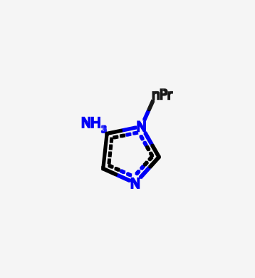 CCCn1ccnc1.N